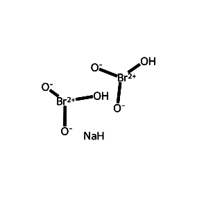 [NaH].[O-][Br+2]([O-])O.[O-][Br+2]([O-])O